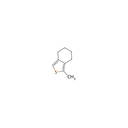 Cc1scc2c1CCCC2